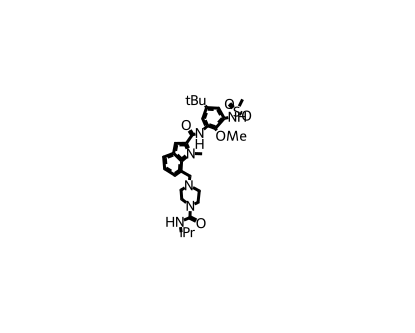 COc1c(NC(=O)c2cc3cccc(CN4CCN(C(=O)NC(C)C)CC4)c3n2C)cc(C(C)(C)C)cc1NS(C)(=O)=O